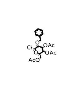 CC(=O)OC[C@H]1O[C@H](Cl)[C@H](OCc2ccccc2)[C@@H](OC(C)=O)[C@H]1OC(C)=O